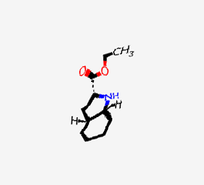 CCOC(=O)[C@H]1C[C@H]2CCCC[C@H]2N1